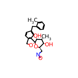 Cc1ccccc1Cc1ccc2c(c1)[C@]1(OC2)O[C@H](CN=O)[C@@H](O)[C@H](C)[C@H]1O